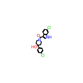 O=C(c1c[nH]c2cc(Cl)ccc12)N1CCC(O)(c2ccc(Cl)cc2)CC1